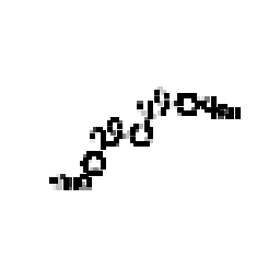 CC(C)(C)Oc1ccc(C(=O)CC(=O)c2cccc(C(=O)CC(=O)c3ccc(OC(C)(C)C)cc3)c2)cc1